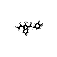 Cc1c(C(=O)C(=O)O)c2n(c1C(=O)Nc1ccc(F)c(Cl)c1)CC(F)C2